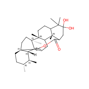 C[C@H]1[C@H](C)CC[C@@]23CC[C@]4(C)C(=CCC5[C@@]6(C)C(CC(O)(O)C(C)(C)C6CC[C@]54C)C(=O)OC2)[C@H]13